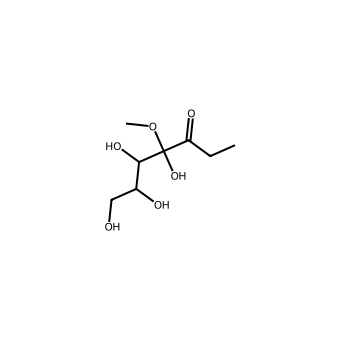 CCC(=O)C(O)(OC)C(O)C(O)CO